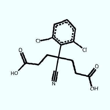 N#CC(CCC(=O)O)(CCC(=O)O)c1c(Cl)cccc1Cl